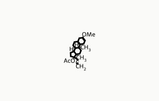 C=C=C[C@]1(OC(C)=O)CC[C@H]2[C@@H]3CCC4=C(CC=C(OC)C4)[C@@]3(C)CC[C@@]21C